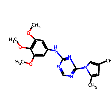 COc1cc(Nc2ncnc(-n3cc(C)cc3C)n2)cc(OC)c1OC